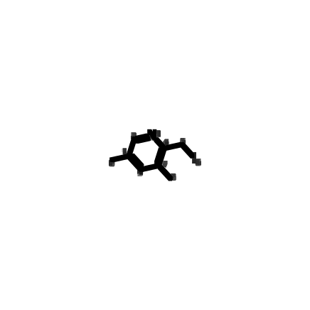 Cc1cnc(CI)c(C)c1